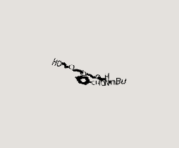 CCCCNCCOCCOCCOCCO.O=Cc1ccccc1